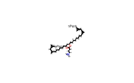 CCCCCC1CC1CC1CC1CCCCCCCCC(CCCCCCCCC1CC1CC1CC1CCCCC)OC(=O)CCCN(C)C